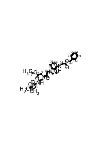 CCOC(=O)CN(CCNC(=O)OC(C)(C)C)C(=O)Cn1cnc2c(NCC(=O)OCc3ccccc3)ncnc21